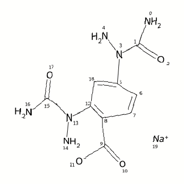 NC(=O)N(N)c1ccc(C(=O)[O-])c(N(N)C(N)=O)c1.[Na+]